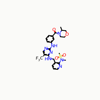 CC1COCCN1C(=O)c1cccc(Nc2ncc(C(F)(F)F)c(NCc3cccnc3N(C)S(C)(=O)=O)n2)c1